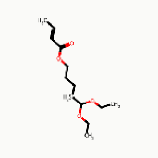 CC=CC(=O)OCCC[SiH2]C(OCC)OCC